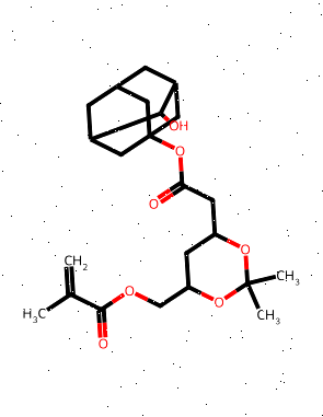 C=C(C)C(=O)OCC1CC(CC(=O)OC23CC4CC(C2)C(O)C(C4)C3)OC(C)(C)O1